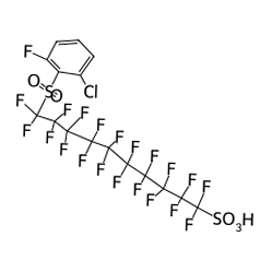 O=S(=O)(O)C(F)(F)C(F)(F)C(F)(F)C(F)(F)C(F)(F)C(F)(F)C(F)(F)C(F)(F)C(F)(F)C(F)(F)S(=O)(=O)c1c(F)cccc1Cl